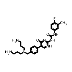 Cc1cc(NC(=O)Nc2nc(=O)c(-c3ccc(CN(CCCN)CCCN)cc3)c[nH]2)ccc1F